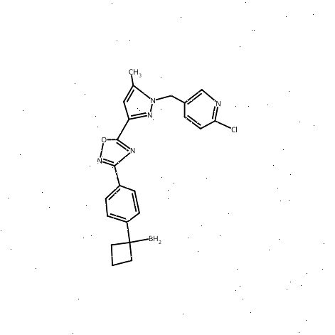 BC1(c2ccc(-c3noc(-c4cc(C)n(Cc5ccc(Cl)nc5)n4)n3)cc2)CCC1